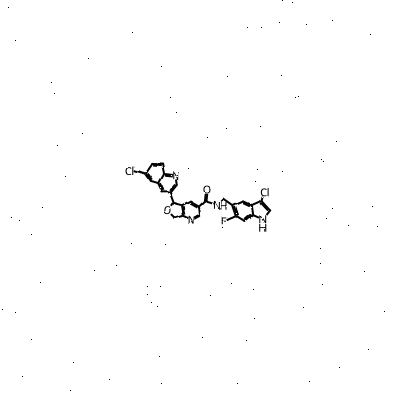 O=C(NCc1cc2c(Cl)c[nH]c2cc1F)c1cnc2c(c1)C(c1cnc3ccc(Cl)cc3c1)OC2